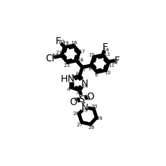 O=S(=O)(c1c[nH]c(C(c2ccc(F)c(F)c2)c2ccc(F)c(Cl)c2)n1)N1CCCCC1